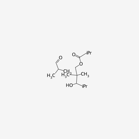 CC(C)C(=O)OCC(C)(C)C(O)C(C)C.CC(C)C=O